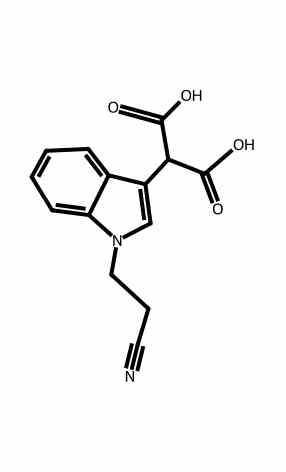 N#CCCn1cc(C(C(=O)O)C(=O)O)c2ccccc21